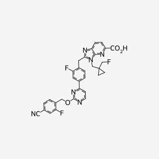 N#Cc1ccc(COc2nccc(-c3ccc(Cc4nc5ccc(C(=O)O)nc5n4CC4(CF)CC4)c(F)c3)n2)c(F)c1